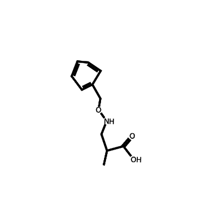 CC(CNOCc1ccccc1)C(=O)O